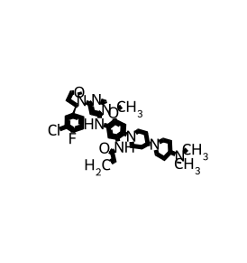 C=CC(=O)Nc1cc(Nc2cc(N3OCC[C@@H]3c3ccc(F)c(Cl)c3)ncn2)c(OC)cc1N1CCC(N2CCC(N(C)C)CC2)CC1